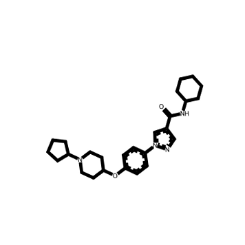 O=C(NC1CCCCC1)c1cnn(-c2ccc(OC3CCN(C4CCCC4)CC3)cc2)c1